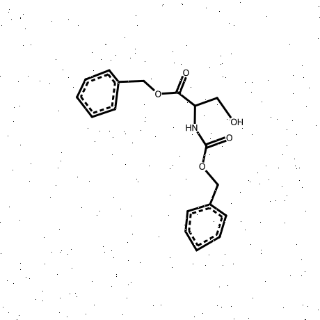 O=C(NC(CO)C(=O)OCc1ccccc1)OCc1ccccc1